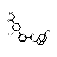 C[C@@H]1CN(C(=O)CO)CCN1c1cccc(C(=O)NC2C3CC4CC2CC(O)(C4)C3)n1